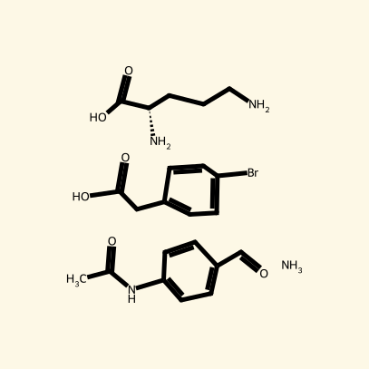 CC(=O)Nc1ccc(C=O)cc1.N.NCCC[C@H](N)C(=O)O.O=C(O)Cc1ccc(Br)cc1